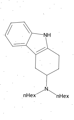 CCCCCCN(CCCCCC)C1CCc2[nH]c3ccccc3c2C1